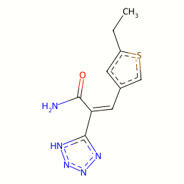 CCc1cc(C=C(C(N)=O)c2nnn[nH]2)cs1